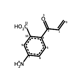 C=CC(=O)c1ccc(N)cc1C(=O)O